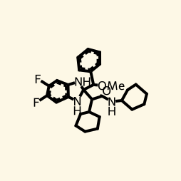 COC(c1ccccc1)C1(C(C(=O)NC2CCCCC2)C2CCCCC2)Nc2cc(F)c(F)cc2N1